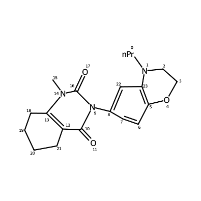 CCCN1CCOc2ccc(-n3c(=O)c4c(n(C)c3=O)CCCC4)cc21